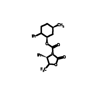 CC(C)C1CC[C@@H](C)C[C@H]1OC(=O)N1C(=O)OC(C(F)(F)F)[C@@H]1C(C)C